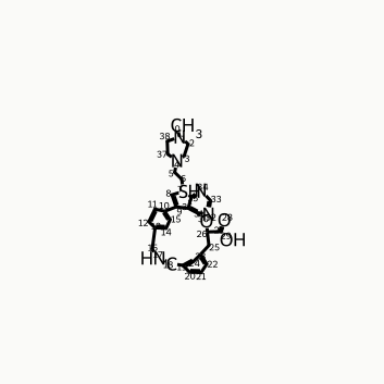 CN1CCN(CC[SH]2C=C3c4ccc(cc4)CNCc4cccc(c4)CC(C(=O)O)Oc4ncnc2c43)CC1